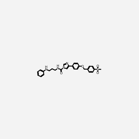 CS(=O)(=O)c1ccc(COc2ccc(-c3cn(C(=O)NCCCNc4ccccc4)cn3)cc2)cc1